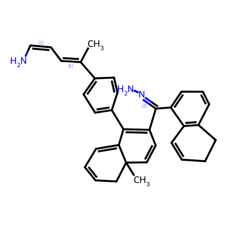 C/C(=C\C=C/N)c1ccc(C2=C(/C(=N\N)c3cccc4c3C=CCC4)C=CC3(C)CC=CC=C23)cc1